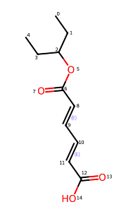 CCC(CC)OC(=O)/C=C/C=C/C(=O)O